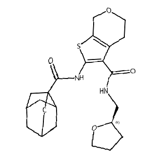 O=C(NC[C@H]1CCCO1)c1c(NC(=O)C23CC4CC(CC2C4)C3)sc2c1CCOC2